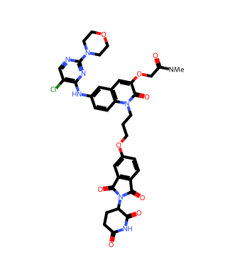 CNC(=O)COc1cc2cc(Nc3nc(N4CCOCC4)ncc3Cl)ccc2n(CCCOc2ccc3c(c2)C(=O)N(C2CCC(=O)NC2=O)C3=O)c1=O